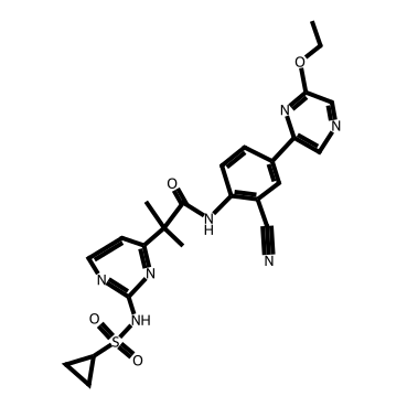 CCOc1cncc(-c2ccc(NC(=O)C(C)(C)c3ccnc(NS(=O)(=O)C4CC4)n3)c(C#N)c2)n1